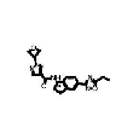 CCc1nc(-c2ccc3c(c2)CC[C@H]3NC(=O)c2cnn(C3COC3)c2)no1